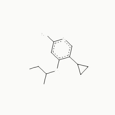 CC(CF)Oc1cc(C#N)ncc1C1CC1